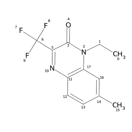 CCn1c(=O)c(C(F)(F)F)nc2ccc(C)cc21